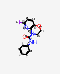 O=C(Nc1ccccc1)N1CCOc2ccc(I)nc21